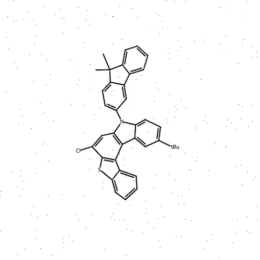 CC(C)(C)c1ccc2c(c1)c1c3c(sc4ccccc43)c(Cl)cc1n2-c1ccc2c(c1)-c1ccccc1C2(C)C